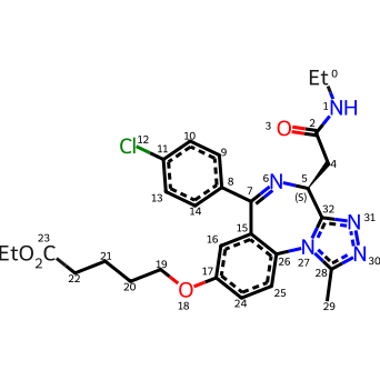 CCNC(=O)C[C@@H]1N=C(c2ccc(Cl)cc2)c2cc(OCCCCC(=O)OCC)ccc2-n2c(C)nnc21